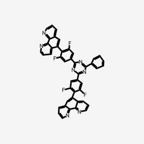 Fc1cc(-c2nc(-c3ccccc3)nc(-c3cc(F)c(-c4cc5cccnc5c5ncccc45)c(F)c3)n2)cc(F)c1-c1cc2cccnc2c2ncccc12